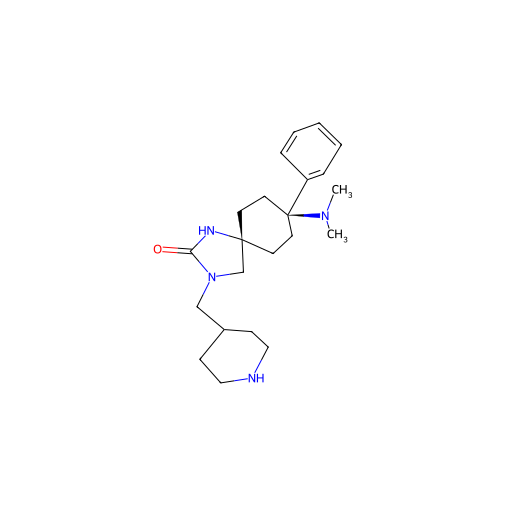 CN(C)[C@]1(c2ccccc2)CC[C@@]2(CC1)CN(CC1CCNCC1)C(=O)N2